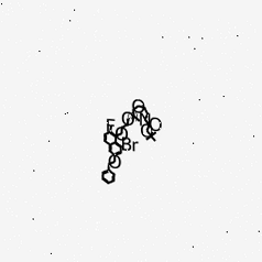 CC(C)(C)OC(=O)N1CCOC[C@@H](OCCOc2c(F)ccc3cc(OCc4ccccc4)cc(Br)c23)C1